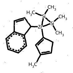 CC1=CC[C]([Zr]2([CH]3C=Cc4ccccc43)[Si](C)(C)[Si]2(C)C)=C1